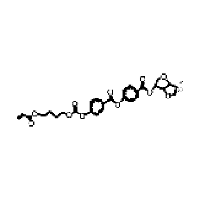 C=CC(=O)OCCCCOC(=O)Oc1ccc(C(=O)Oc2ccc(C(=O)OC3COC4C3OC[C@H]4C)cc2)cc1